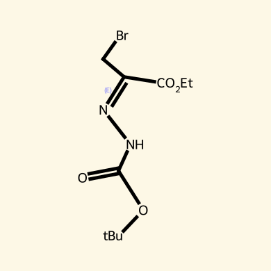 CCOC(=O)/C(CBr)=N\NC(=O)OC(C)(C)C